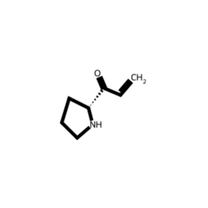 C=CC(=O)[C@H]1CCCN1